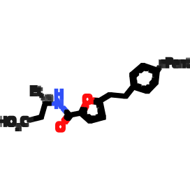 CCCCCc1ccc(CCc2ccc(C(=O)N[C@@H](CC)CC(=O)O)o2)cc1